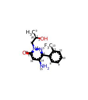 C[C@@H](O)Cn1nc(-c2ccccc2C(F)(F)F)c(N)cc1=O